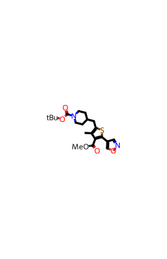 COC(=O)c1c(-c2cnoc2)sc(CC2CCN(C(=O)OC(C)(C)C)CC2)c1C